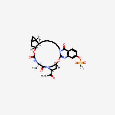 COC(=O)[C@@H]1C[C@@H]2CN1C(=O)[C@H](C(C)(C)C)NC(=O)O[C@@H]1CC3C[C@@H]3[C@H]1CCCCCn1c(nc3cc(OS(=O)(=O)C(F)(F)F)ccc3c1=O)O2